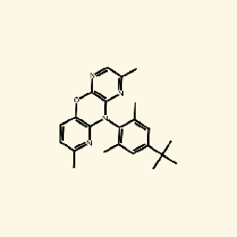 Cc1ccc2c(n1)N(c1c(C)cc(C(C)(C)C)cc1C)c1nc(C)cnc1O2